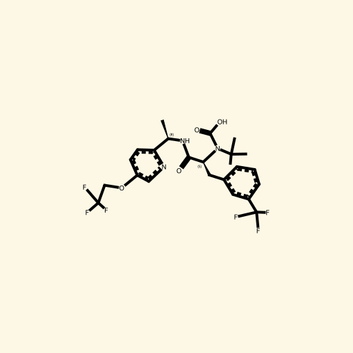 C[C@@H](NC(=O)[C@H](Cc1cccc(C(F)(F)F)c1)N(C(=O)O)C(C)(C)C)c1ccc(OCC(F)(F)F)cn1